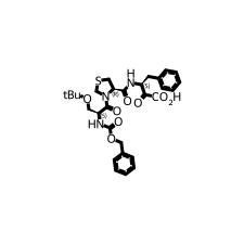 CC(C)(C)OC[C@H](NC(=O)OCc1ccccc1)C(=O)N1CSC[C@H]1C(=O)N[C@@H](Cc1ccccc1)C(=O)C(=O)O